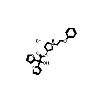 C[N+]1(CCOc2ccccc2)CC[C@H](OC(=O)C(O)(c2cccs2)c2cccs2)C1.[Br-]